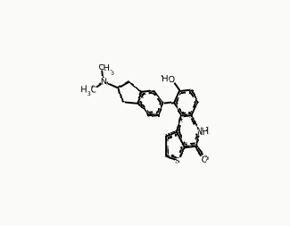 CN(C)C1Cc2ccc(-c3c(O)ccc4[nH]c(=O)c5sccc5c34)cc2C1